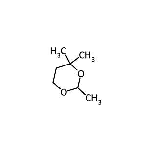 CC1OCCC(C)(C)O1